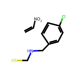 C=C[N+](=O)[O-].SCNCc1ccc(Cl)cc1